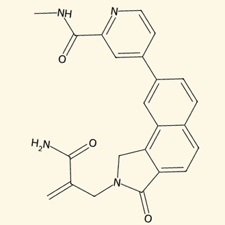 C=C(CN1Cc2c(ccc3ccc(-c4ccnc(C(=O)NC)c4)cc23)C1=O)C(N)=O